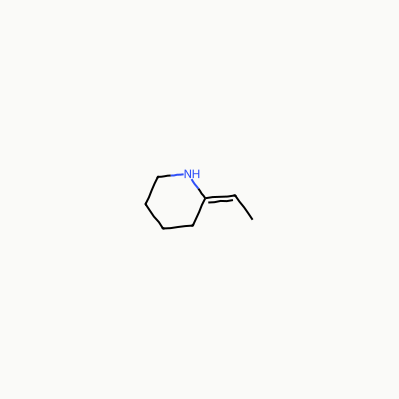 CC=C1CCCCN1